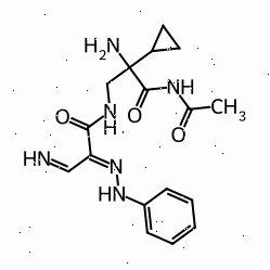 CC(=O)NC(=O)C(N)(CNC(=O)/C(C=N)=N/Nc1ccccc1)C1CC1